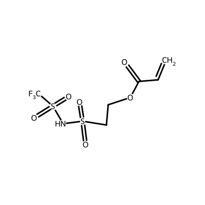 C=CC(=O)OCCS(=O)(=O)NS(=O)(=O)C(F)(F)F